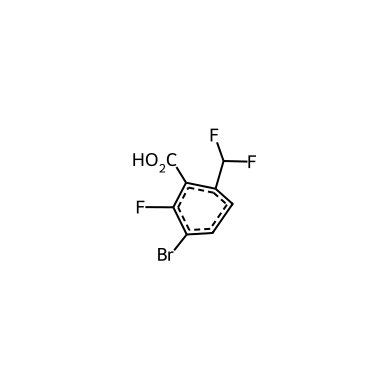 O=C(O)c1c(C(F)F)ccc(Br)c1F